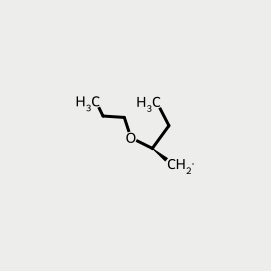 [CH2][C@H](CC)OCCC